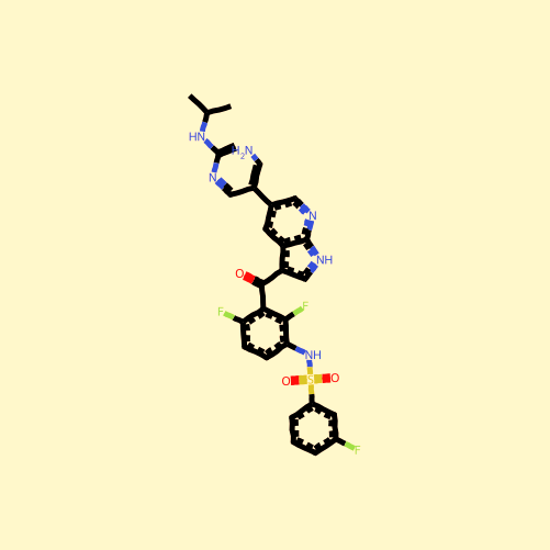 C=C(/N=C\C(=C/N)c1cnc2[nH]cc(C(=O)c3c(F)ccc(NS(=O)(=O)c4cccc(F)c4)c3F)c2c1)NC(C)C